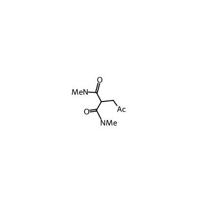 CNC(=O)C(CC(C)=O)C(=O)NC